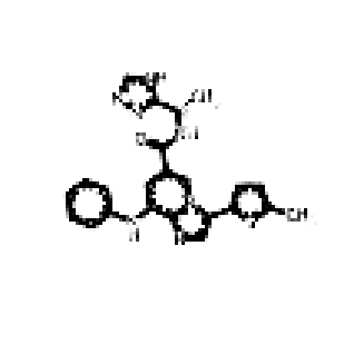 Cc1ccc(-c2cnc3c(Nc4ccccc4)cc(C(=O)N[C@@H](C)c4nnc[nH]4)cn23)s1